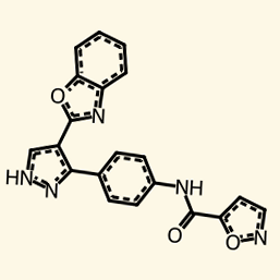 O=C(Nc1ccc(-c2n[nH]cc2-c2nc3ccccc3o2)cc1)c1ccno1